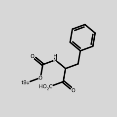 CC(C)(C)OC(=O)NC(Cc1ccccc1)C(=O)C(=O)O